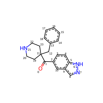 O=C(c1ccc2[nH]ncc2c1)C1(Cc2ccccc2)CCNCC1